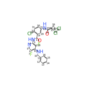 O=C(Nc1ncc(F)c(NCc2ccccc2)c1F)c1cc(NC(=O)[C@H]2CC2(Cl)Cl)ccc1Cl